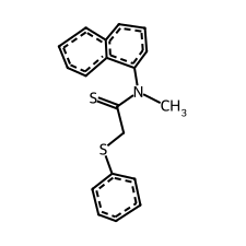 CN(C(=S)CSc1ccccc1)c1cccc2ccccc12